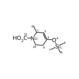 CC1C=C(O[Si](C)(C)C)CCN1C(=O)O